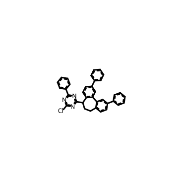 Clc1nc(-c2ccccc2)nc(C2CCc3ccc(-c4ccccc4)cc3-c3cc(-c4ccccc4)ccc32)n1